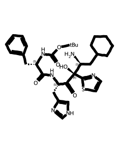 CC(C)(C)OC(=O)N[C@@H](Cc1ccccc1)C(=O)N[C@@H](Cc1c[nH]cn1)C(=O)[C@@](O)(c1nccs1)[C@@H](N)CC1CCCCC1